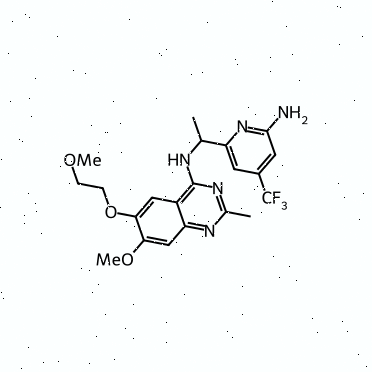 COCCOc1cc2c(NC(C)c3cc(C(F)(F)F)cc(N)n3)nc(C)nc2cc1OC